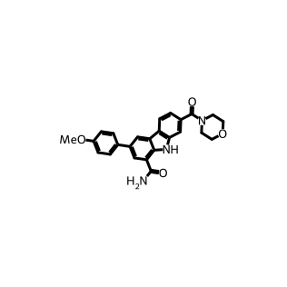 COc1ccc(-c2cc(C(N)=O)c3[nH]c4cc(C(=O)N5CCOCC5)ccc4c3c2)cc1